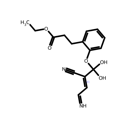 CCOC(=O)CCc1ccccc1OC(O)(O)/C(C#N)=C/C=N